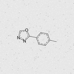 Cc1ccc(-c2nnco2)cc1